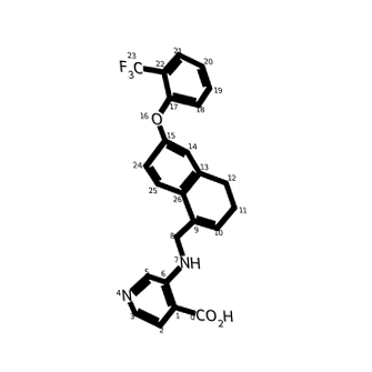 O=C(O)c1ccncc1NCC1=CCCc2cc(Oc3ccccc3C(F)(F)F)ccc21